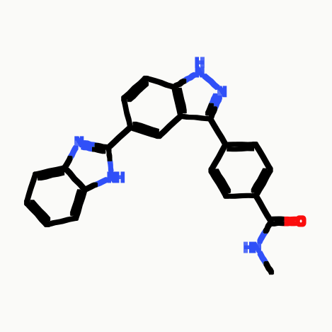 CNC(=O)c1ccc(-c2n[nH]c3ccc(-c4nc5ccccc5[nH]4)cc23)cc1